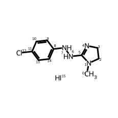 CN1CCN=C1NNc1ccc(Cl)cc1.I